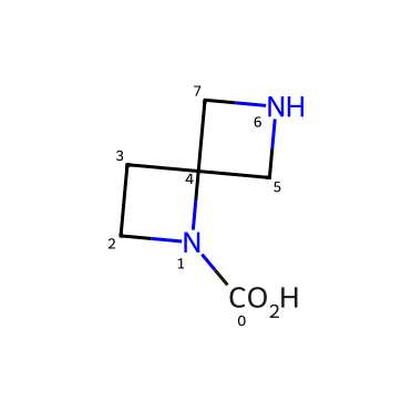 O=C(O)N1CCC12CNC2